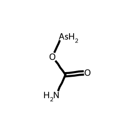 NC(=O)O[AsH2]